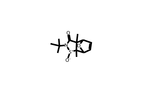 CC(C)(C)N1C(=O)C2(C)C3C=CC(O3)C2(C)[S+]1[O-]